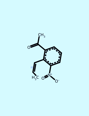 C/C=C\c1c(C(C)=O)cccc1[N+](=O)[O-]